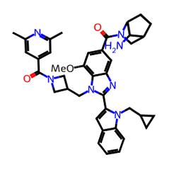 COc1cc(C(=O)N2CC3CCC2C3N)cc2nc(-c3cc4ccccc4n3CC3CC3)n(CC3CN(C(=O)c4cc(C)nc(C)c4)C3)c12